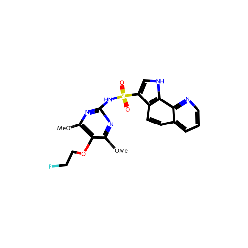 COc1nc(NS(=O)(=O)c2c[nH]c3c2ccc2cccnc23)nc(OC)c1OCCF